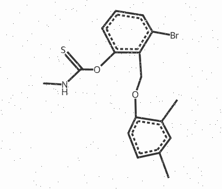 CNC(=S)Oc1cccc(Br)c1COc1ccc(C)cc1C